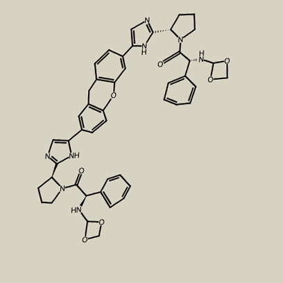 O=C([C@H](NC1OCO1)c1ccccc1)N1CCC[C@H]1c1ncc(-c2ccc3c(c2)Cc2ccc(-c4cnc([C@@H]5CCCN5C(=O)[C@H](NC5OCO5)c5ccccc5)[nH]4)cc2O3)[nH]1